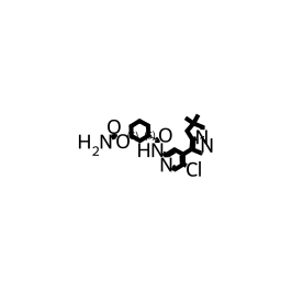 CC1(C)Cc2c(-c3cc(NC(=O)[C@H]4CCC[C@H](OC(N)=O)C4)ncc3Cl)cnn2C1